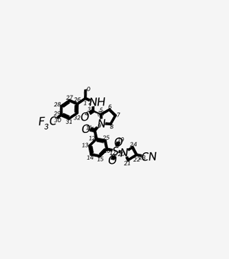 CC(NC(=O)[C@H]1CCCN1C(=O)c1cccc(S(=O)(=O)N2CC(C#N)C2)c1)c1ccc(C(F)(F)F)cc1